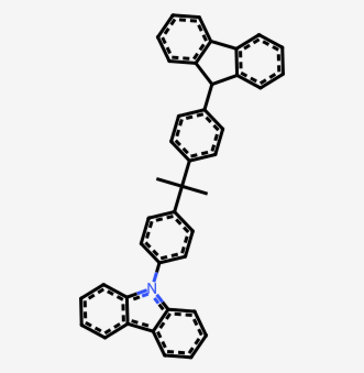 CC(C)(c1ccc(C2c3ccccc3-c3ccccc32)cc1)c1ccc(-n2c3ccccc3c3ccccc32)cc1